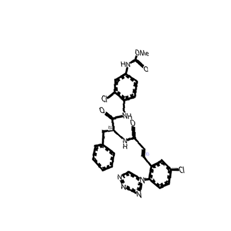 COC(=O)Nc1ccc(NC(=O)[C@H](Cc2ccccc2)NC(=O)/C=C/c2cc(Cl)ccc2-n2cnnn2)c(Cl)c1